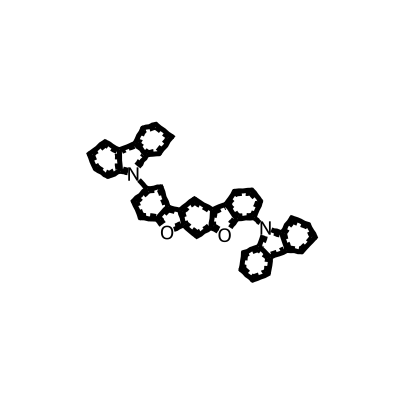 c1cc(-n2c3ccccc3c3ccccc32)c2oc3cc4oc5ccc(-n6c7ccccc7c7ccccc76)cc5c4cc3c2c1